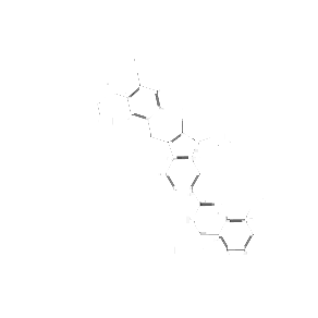 Cc1c(Cc2ccc(Cl)c(O[C@H](C)C(=O)O)c2)c2ccc(C(=O)N[C@@H](C)c3cccc(F)c3)cc2n1C